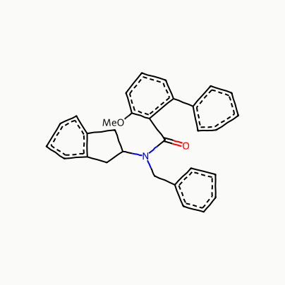 COc1cccc(-c2ccccc2)c1C(=O)N(Cc1ccccc1)C1Cc2ccccc2C1